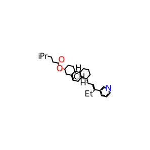 CC/C(=C\C[C@@H]1CCC[C@H]2[C@H]1CC=C1C[C@@H](OC(=O)CCC(C)C)CC[C@@]12C)c1cccnc1